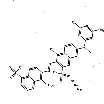 CN(c1ccc2c([O-])c(N=Nc3ccc4c(S(=O)(=O)[O-])cccc4c3S(=O)(=O)O)c(S(=O)(=O)[O-])cc2c1)c1nc(N)nc(Cl)n1.[Na+].[Na+].[Na+]